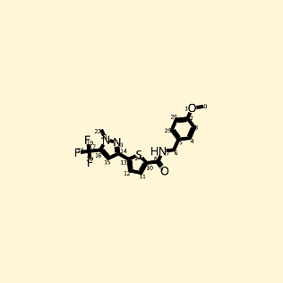 COc1ccc(CNC(=O)c2ccc(-c3cc(C(F)(F)F)n(C)n3)s2)cc1